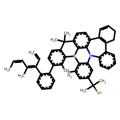 C=C/C(=C(C)\C=C/C)c1ccccc1-c1ccc2c(c1C)B1c3c(C)cc(C(C)(C)S)cc3N3c4ccccc4C4=C(C=CCC4)c4ccc(c1c43)C2(C)C